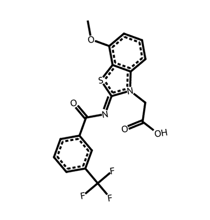 COc1cccc2c1s/c(=N\C(=O)c1cccc(C(F)(F)F)c1)n2CC(=O)O